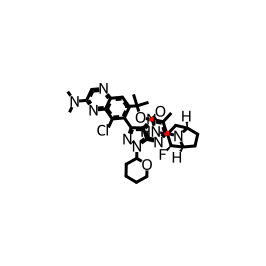 Cc1nc2c(-c3ccc4ncc(N(C)C)nc4c3Cl)nn(C3CCCCO3)c2nc1N1[C@H]2CC[C@@H]1[C@@H](F)[C@@H](NC(=O)OC(C)(C)C)C2